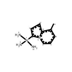 Cc1cccn2c([N+](N)(N)N)ccc12